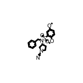 COc1ccc(OC)c(S(=O)(=O)N(Cc2ccccc2)[C@@H]2CCN(C#N)C2)c1